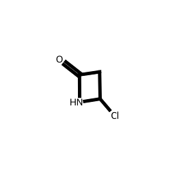 O=C1CC(Cl)N1